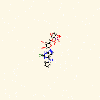 O=P(O)(O)C1(OC[C@H]2O[C@@H](n3ncc4c(NC5CCCC5)nc(Cl)nc43)[C@H](O)[C@@H]2O)CCOC1